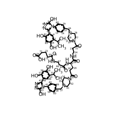 CC(C)c1cc(-c2nnc(O)n2-c2ccc(CN3CCN(C(=O)CCNC(=O)[C@@H](CCC(=O)N4CCN(Cc5ccc(-n6c(O)nnc6-c6cc(C(C)C)c(O)cc6O)cc5)CC4)NC(=O)CCNC(=O)CCCC(=O)O)CC3)cc2)c(O)cc1O